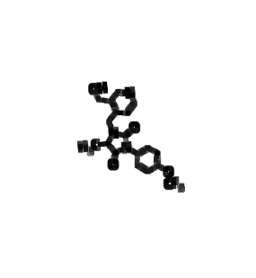 CC1C(=O)N(c2ccc(OC(F)(F)F)cc2)C(=O)N1Cc1ccncc1CO